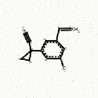 C=Cc1cc(Cl)cc(C2(C#N)CC2)c1